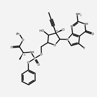 CC#C[C@@]1(Cl)C(O)C(COP(=O)(N[C@@H](C)C(=O)OC(C)C)Oc2ccccc2)OC1n1cc(F)c2c(=O)[nH]c(N)nc21